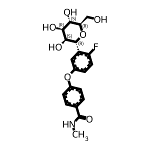 CNC(=O)c1ccc(Oc2ccc(F)c([C@H]3O[C@H](CO)[C@@H](O)[C@H](O)[C@@H]3O)c2)cc1